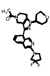 CC(=O)N1CCc2c(c(-c3cccc4cc(N5CCC(F)(F)C5)ncc34)nn2C2CCOCC2)C1